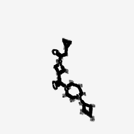 O=C(CC1CC1)N1CC(C(=O)N2CCCN(C3CCC3)CC2)C1